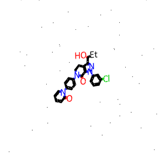 CCC(O)c1nn(-c2cccc(Cl)c2)c2c1CCN(c1ccc(-n3ccccc3=O)cc1)C2=O